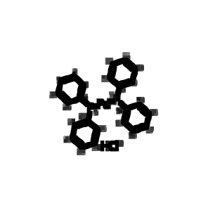 Cl.c1ccc([P]([Pd][P](c2ccccc2)c2ccccc2)c2ccccc2)cc1